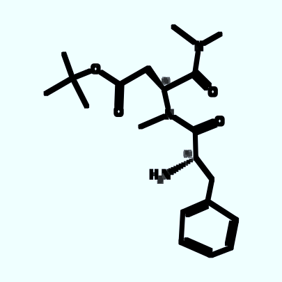 CN(C)C(=O)[C@H](CC(=O)OC(C)(C)C)N(C)C(=O)[C@@H](N)Cc1ccccc1